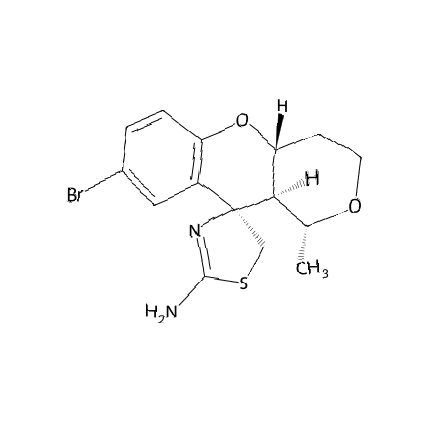 C[C@H]1OCC[C@H]2Oc3ccc(Br)cc3[C@@]3(CSC(N)=N3)[C@H]12